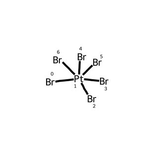 [Br][Pt]([Br])([Br])([Br])([Br])[Br]